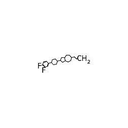 C=CCC1CCC2CC(C3CCC(c4ccc(F)c(F)c4)CC3)CC2CC1